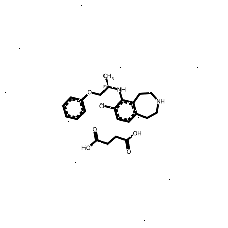 C[C@H](COc1ccccc1)Nc1c(Cl)ccc2c1CCNCC2.O=C(O)CCC(=O)O